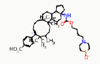 CC1CCC2(C)C(CC/C=C(/c3ccc(C(=O)O)cc3)C1(C)C)CCC1C3CCCC3(NC(=O)OCCCCN3CC[S+]([O-])CC3)CC[C@]12C